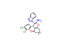 CC1(C)CC(=O)C2=C(C1)OC(N)=C(n1cnc3ccccc31)C2c1ccc(Cl)c(Cl)c1